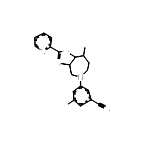 CC1CCN(c2cc(F)cc(C#N)c2)CC2N=C(c3ccccn3)OC12